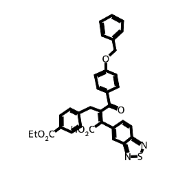 CCOC(=O)c1ccc(C/C(C(=O)c2ccc(OCc3ccccc3)cc2)=C(\C(=O)O)c2ccc3nsnc3c2)cc1